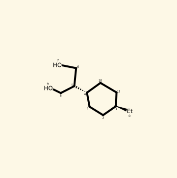 CC[C@H]1CC[C@H](C(CO)CO)CC1